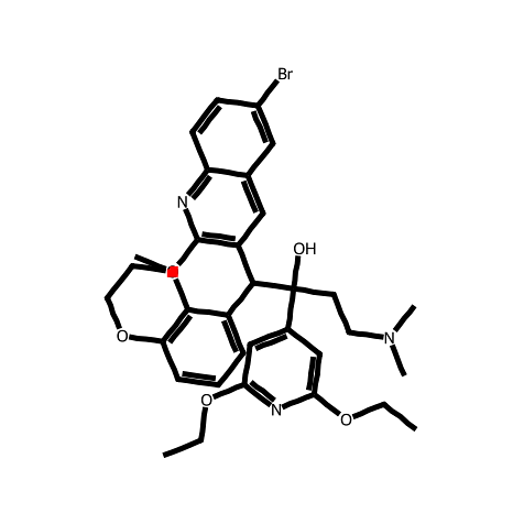 CCOc1cc(C(O)(CCN(C)C)C(c2cc3cc(Br)ccc3nc2OC)c2cccc3c2OCCO3)cc(OCC)n1